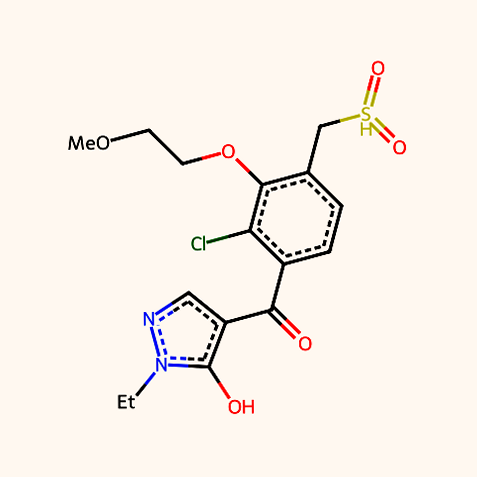 CCn1ncc(C(=O)c2ccc(C[SH](=O)=O)c(OCCOC)c2Cl)c1O